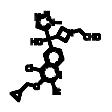 CCc1nc2ccc(C(O)(c3cnnn3C)C3CN(CC=O)C3)cc2c(Cl)c1OCC1CC1